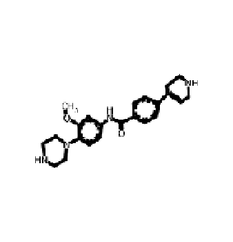 COc1cc(NC(=O)c2ccc(C3=CCNCC3)cc2)ccc1N1CCNCC1